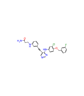 NC(=O)CCNc1cccc(C#Cc2cncnc2Nc2ccc(OCc3cccc(F)c3)c(Cl)c2)c1